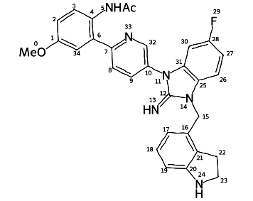 COc1ccc(NC(C)=O)c(-c2ccc(-n3c(=N)n(Cc4cccc5c4CCN5)c4ccc(F)cc43)cn2)c1